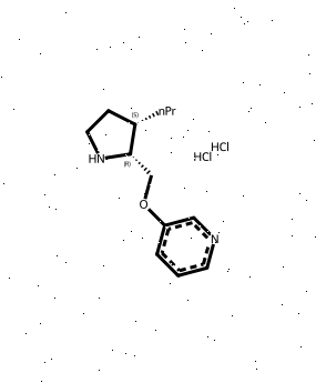 CCC[C@H]1CCN[C@H]1COc1cccnc1.Cl.Cl